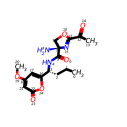 CCC[C@@H](NC(=O)[C@]1(N)COC(C(C)=O)=N1)c1cc(OC)cc(=O)o1